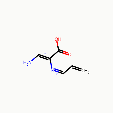 C=C/C=N\C(=C/N)C(=O)O